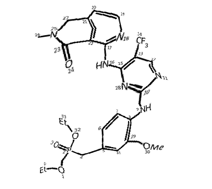 CCOP(=O)(Cc1ccc(Nc2ncc(C(F)(F)F)c(Nc3nccc4c3C(=O)N(C)C4)n2)c(OC)c1)OCC